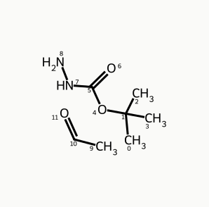 CC(C)(C)OC(=O)NN.CC=O